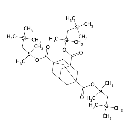 C[Si](C)(C)C[Si](C)(C)OC(=O)C12CC3CC(C(=O)O[Si](C)(C)C[Si](C)(C)C)(C1)CC(C(=O)O[Si](C)(C)C[Si](C)(C)C)(C3)C2